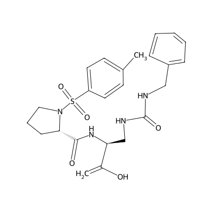 C=C(O)[C@H](CNC(=O)NCc1ccccc1)NC(=O)[C@@H]1CCCN1S(=O)(=O)c1ccc(C)cc1